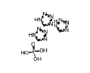 O=P(O)(O)O.c1nnn[nH]1.c1nnn[nH]1.c1nnn[nH]1